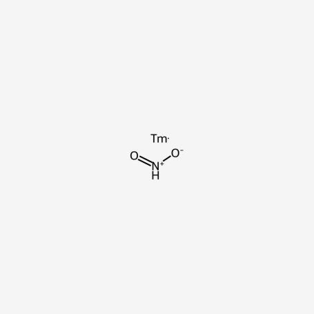 O=[NH+][O-].[Tm]